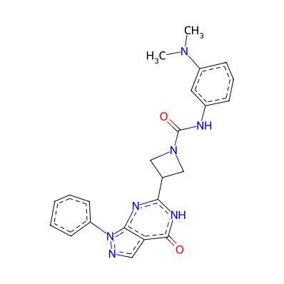 CN(C)c1cccc(NC(=O)N2CC(c3nc4c(cnn4-c4ccccc4)c(=O)[nH]3)C2)c1